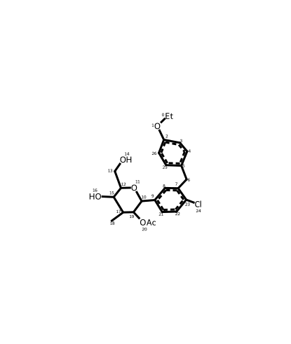 CCOc1ccc(Cc2cc(C3OC(CO)C(O)C(C)C3OC(C)=O)ccc2Cl)cc1